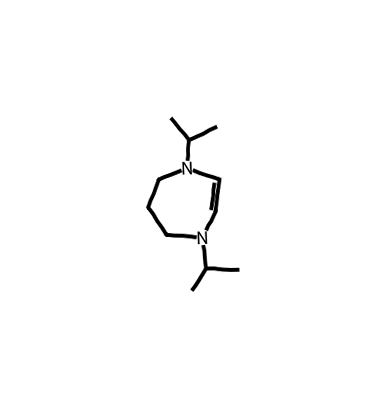 CC(C)N1C=CN(C(C)C)CCC1